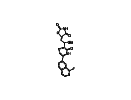 CC(C)(C)C(/C=C1/OC(=O)NC1=O)c1ccc(-c2ccc3cccc(F)c3c2)[nH]c1=O